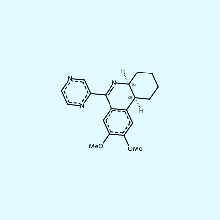 COc1cc2c(cc1OC)[C@@H]1CCCC[C@@H]1N=C2c1cnccn1